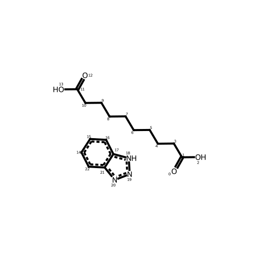 O=C(O)CCCCCCCCC(=O)O.c1ccc2[nH]nnc2c1